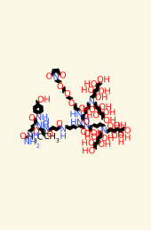 CC(C)[C@H](NC(=O)CCC(=O)NCCCC[C@H](NC(=O)[C@H](CCCCN(C[C@H](O)[C@@H](O)[C@H](O)[C@H](O)CO)C[C@H](O)[C@@H](O)[C@H](O)[C@H](O)CO)NC(=O)CCOCCOCCOCCN1C(=O)C=CC1=O)C(=O)N[C@@H](CCCCN(C[C@H](O)[C@@H](O)[C@H](O)[C@H](O)CO)C[C@H](O)[C@@H](O)[C@H](O)[C@H](O)CO)C(=O)O)C(=O)N[C@@H](CCCNC(N)=O)C(=O)Nc1ccc(CO)cc1